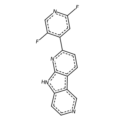 Fc1cc(-c2ccc3c(n2)[nH]c2ccncc23)c(F)cn1